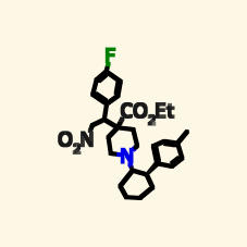 CCOC(=O)C1(C(C[N+](=O)[O-])c2ccc(F)cc2)CCN([C@@H]2CCCC[C@@H]2c2ccc(C)cc2)CC1